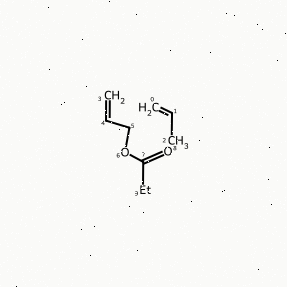 C=CC.C=CCOC(=O)CC